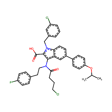 CC(C)Oc1ccc(-c2ccc3c(c2)c(N(CCc2ccc(F)cc2)C(=O)CCCCl)c(C(=O)O)n3Cc2cccc(Cl)c2)cc1